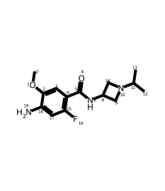 COc1cc(C(=O)NC2CN(C(C)C)C2)c(F)cc1N